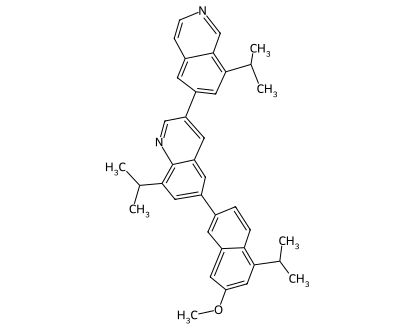 COc1cc(C(C)C)c2ccc(-c3cc(C(C)C)c4ncc(-c5cc(C(C)C)c6cnccc6c5)cc4c3)cc2c1